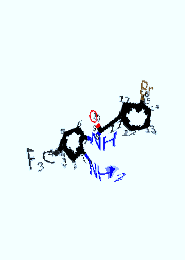 Nc1cc(C(F)(F)F)ccc1NC(=O)c1cccc(Br)c1